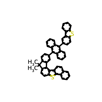 CC1(C)c2ccc(-c3c4ccccc4c(-c4ccc5sc6ccccc6c5c4)c4ccccc34)cc2-c2c1ccc1sc3c4ccccc4ccc3c21